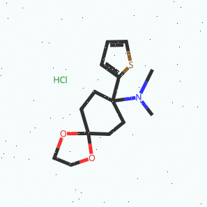 CN(C)C1(c2cccs2)CCC2(CC1)OCCO2.Cl